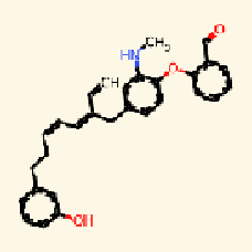 C=C/C(=C\C=C/CCc1cccc(O)c1)Cc1ccc(Oc2ccccc2C=O)c(NC)c1